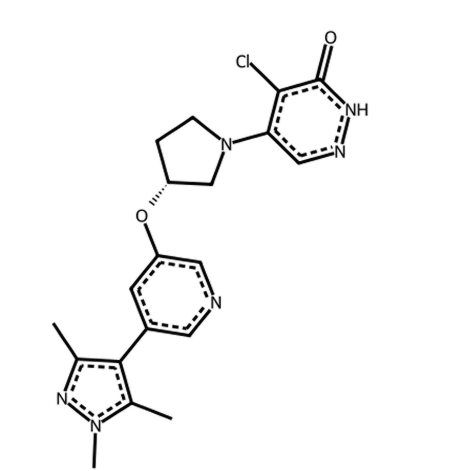 Cc1nn(C)c(C)c1-c1cncc(O[C@@H]2CCN(c3cn[nH]c(=O)c3Cl)C2)c1